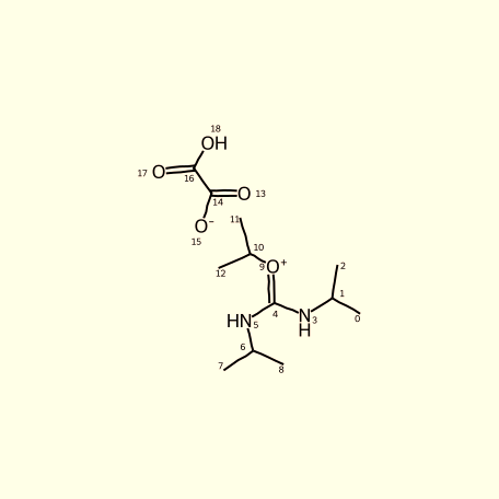 CC(C)NC(NC(C)C)=[O+]C(C)C.O=C([O-])C(=O)O